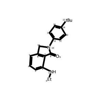 CCNc1cccc2c1C(=O)N(c1ccc(C(C)(C)C)cc1)C2